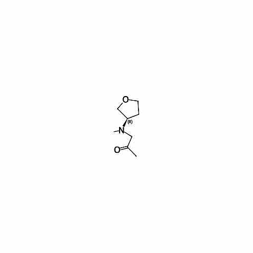 CC(=O)CN(C)[C@@H]1CCOC1